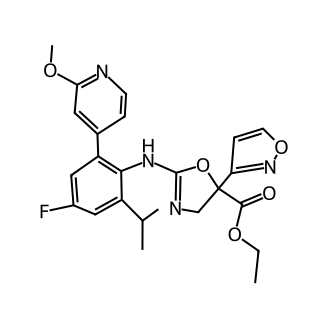 CCOC(=O)C1(c2ccon2)CN=C(Nc2c(-c3ccnc(OC)c3)cc(F)cc2C(C)C)O1